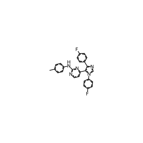 Cc1ccc(Nc2nccc(-c3c(-c4ccc(F)cc4)ncn3-c3ccc(F)cc3)n2)cc1